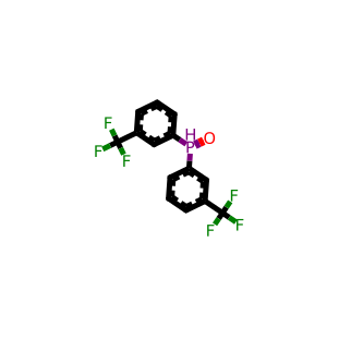 O=[PH](c1cccc(C(F)(F)F)c1)c1cccc(C(F)(F)F)c1